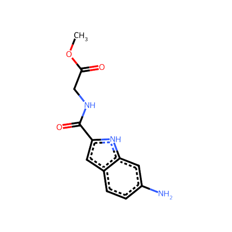 COC(=O)CNC(=O)c1cc2ccc(N)cc2[nH]1